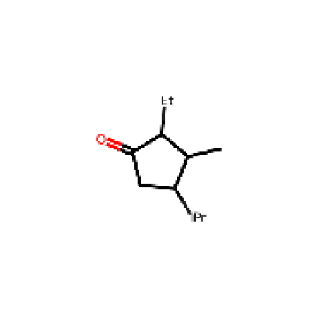 CCC1C(=O)CC(C(C)C)C1C